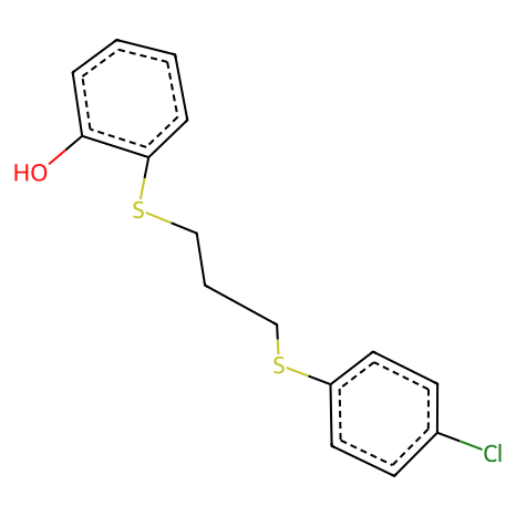 Oc1ccccc1SCCCSc1ccc(Cl)cc1